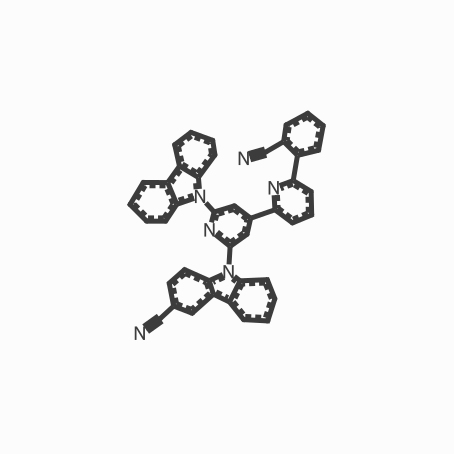 N#Cc1ccc2c(c1)c1ccccc1n2-c1cc(-c2cccc(-c3ccccc3C#N)n2)cc(-n2c3ccccc3c3ccccc32)n1